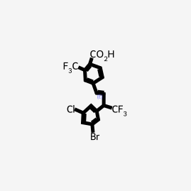 O=C(O)c1ccc(/C=C/C(c2cc(Cl)cc(Br)c2)C(F)(F)F)cc1C(F)(F)F